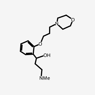 CNCCC(O)c1ccccc1OCCCN1CCOCC1